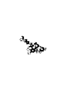 C=CC(=O)N1CC2(CC(n3nc(N4CC[C@@H](CN5C[C@H](O)C[C@@H](F)C5)CC4(C)C)c(-c4c(Cl)c(Cl)cc5[nH]ncc45)c3C)C2)C1